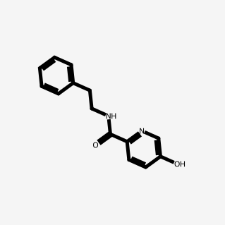 O=C(NCCc1ccccc1)c1ccc(O)cn1